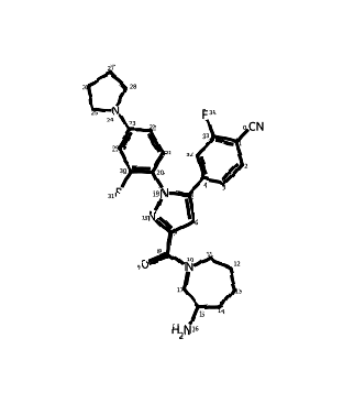 N#Cc1ccc(-c2cc(C(=O)N3CCCCC(N)C3)nn2-c2ccc(N3CCCC3)cc2F)cc1F